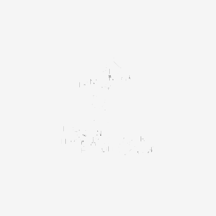 COC1C=CC=C(CN(C)C(=O)c2ccc(CC3CCC(C(O)c4ccc(OC(F)F)cc4)N3C(=O)OC(C)(C)C)cc2)N1